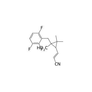 CC1(C)C(C=CC#N)C1(Cc1c(F)ccc(F)c1F)C(=O)O